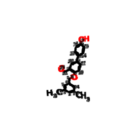 Cc1cc(C)cc(COc2ccc(-c3ccc(O)cc3)cc2C=O)c1